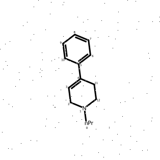 [CH2]CCN1CC=C(c2ccccc2)CC1